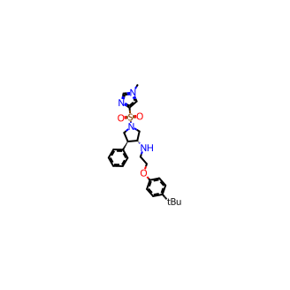 Cn1cnc(S(=O)(=O)N2C[C@H](NCCOc3ccc(C(C)(C)C)cc3)[C@@H](c3ccccc3)C2)c1